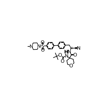 CN1CCN(S(=O)(=O)c2ccc(-c3ccc(C[C@@H](C#N)NC(=O)C4(NC(=O)OC(C)(C)C)CCOCC4)cc3)cc2)CC1